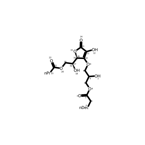 CCCCCCCCCCCC(=O)OCC(O)COC1=C(O)C(=O)O[C@@H]1[C@@H](O)COC(=O)CCC